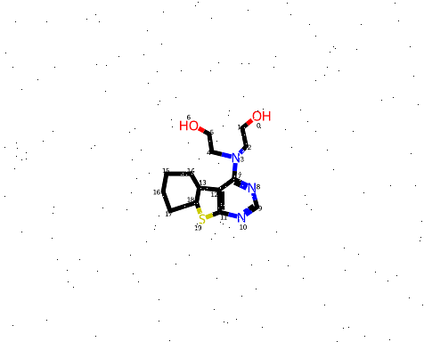 OCCN(CCO)c1ncnc2c1C1CCCCC1S2